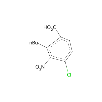 CCCCc1c(C(=O)O)ccc(Cl)c1[N+](=O)[O-]